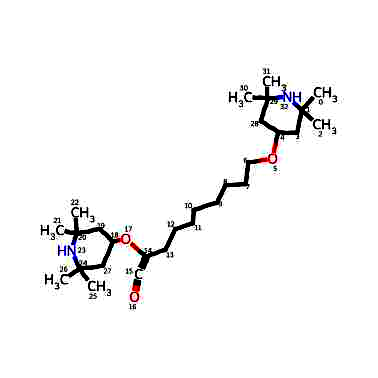 CC1(C)CC(OCCCCCCCCC(=C=O)OC2CC(C)(C)NC(C)(C)C2)CC(C)(C)N1